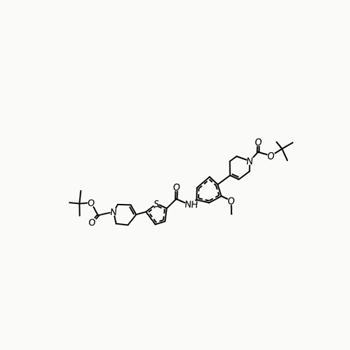 COc1cc(NC(=O)c2ccc(C3=CCN(C(=O)OC(C)(C)C)CC3)s2)ccc1C1=CCN(C(=O)OC(C)(C)C)CC1